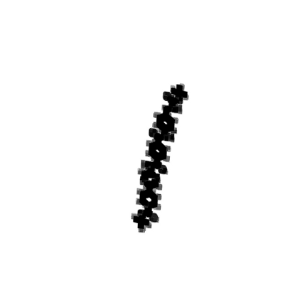 CC(C)(C)OC(=O)NCc1ccc(NC(=O)c2ccc(C(=O)Nc3cnc(C4=CCN(C(=O)OC(C)(C)C)CC4)cn3)cc2)cc1